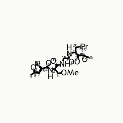 COCC(NC(=O)c1cc(C)on1)C(=O)NCC(=O)NC(CC(C)C)C(=O)[C@@]1(C)CO1